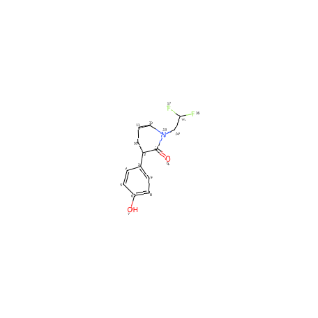 O=C1C(c2ccc(O)cc2)CCCN1CC(F)F